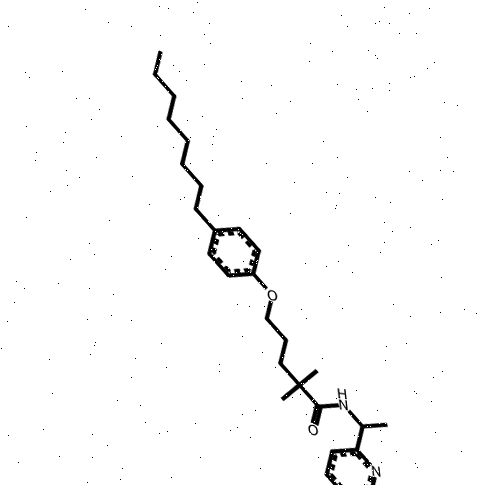 CCCCCCCCc1ccc(OCCCC(C)(C)C(=O)NC(C)c2ccccn2)cc1